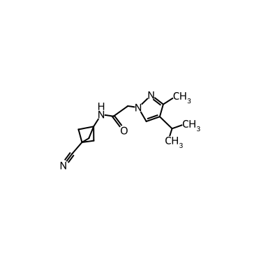 Cc1nn(CC(=O)NC23CC(C#N)(C2)C3)cc1C(C)C